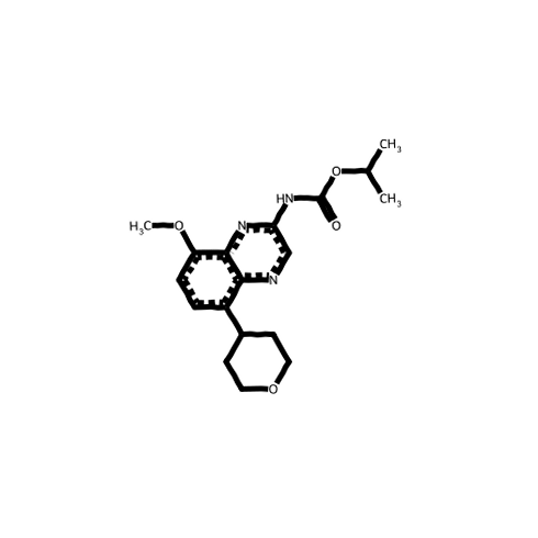 COc1ccc(C2CCOCC2)c2ncc(NC(=O)OC(C)C)nc12